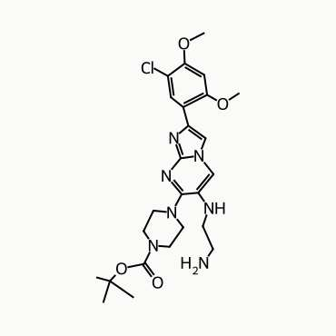 COc1cc(OC)c(-c2cn3cc(NCCN)c(N4CCN(C(=O)OC(C)(C)C)CC4)nc3n2)cc1Cl